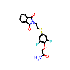 NC(=O)COc1c(F)cc(SCCN2C(=O)c3ccccc3C2=O)cc1F